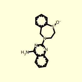 Nc1nc(N2CC[S+]([O-])c3ccccc3C2)nc2ccccc12